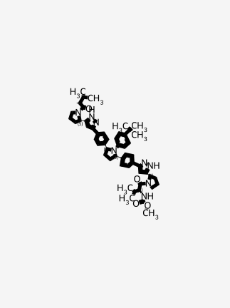 COC(=O)N[C@H](C(=O)N1CCC[C@H]1c1cc(-c2ccc([C@@H]3CC[C@H](c4ccc(-c5cc([C@@H]6CCCN6C(=O)[CH]C(C)C)[nH]n5)cc4)N3c3ccc(C(C)(C)C)cc3)cc2)n[nH]1)C(C)C